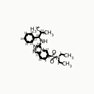 CCN(CC)S(=O)(=O)c1ccc2nnc(N[C@@H](c3ccccc3)C(C)C)n2c1